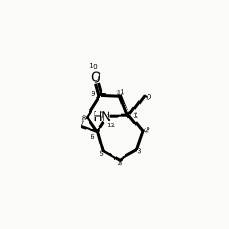 CC12CCCCC(C)(CC(=O)C1)N2